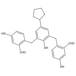 O=Cc1cc(O)ccc1Cc1cc(C2CCCC2)cc(Cc2ccc(O)cc2C=O)c1O